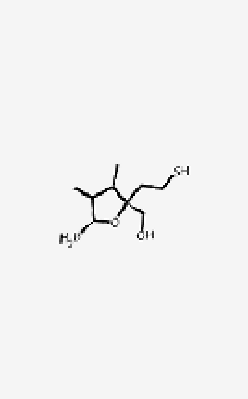 B[C@@H]1O[C@@](CO)(CCS)[C@H](C)C1C